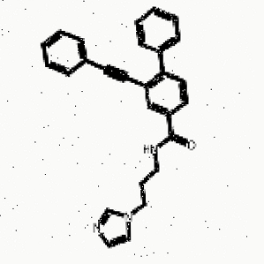 O=C(NCCCn1ccnc1)c1ccc(-c2ccccc2)c(C#Cc2ccccc2)c1